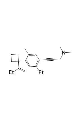 C=C(CC)C1(c2cc(CC)c(C#CCN(C)C)cc2C)CCC1